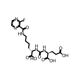 O=C(O)CC[C@H](NC(=O)N[C@@H](CCCCNC(=O)c1nccnc1F)C(=O)O)C(=O)O